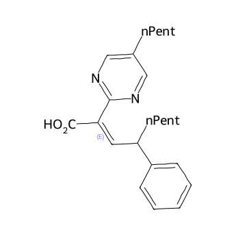 CCCCCc1cnc(/C(=C\C(CCCCC)c2ccccc2)C(=O)O)nc1